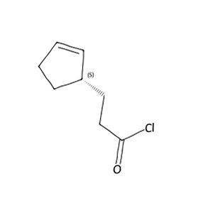 O=C(Cl)CC[C@H]1C=CCC1